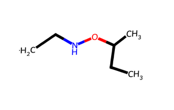 [CH2]CNOC(C)CC